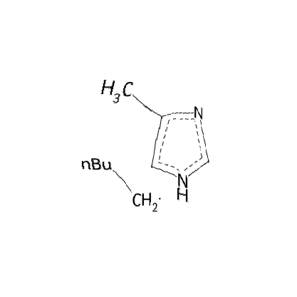 Cc1c[nH]cn1.[CH2]CCCC